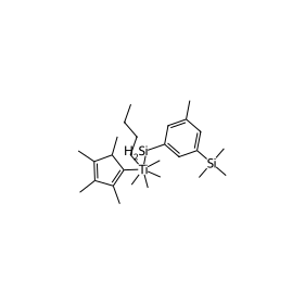 CCC[CH2][Ti]([CH3])([CH3])([CH3])([CH3])([SiH2]c1cc(C)cc([Si](C)(C)C)c1)[C]1=C(C)C(C)=C(C)C1C